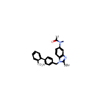 CCCCc1nc2cc(N(C)C(=O)CC)ccc2n1Cc1ccc(-c2ccccc2C(=O)O)cc1